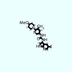 COC1CCN(c2ncc(NC(=O)Nc3c[nH]c4ncc(F)cc34)cc2C)CC1